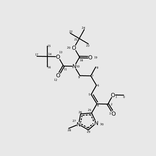 COC(=O)/C(=C\CC(C)CN(C(=O)OC(C)(C)C)C(=O)OC(C)(C)C)c1cn(C)cn1